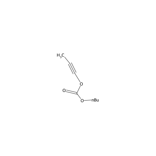 CC#COC(=O)OCCCC